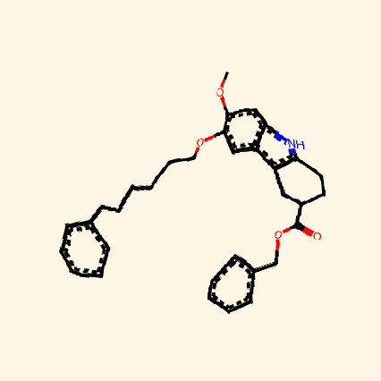 COc1cc2[nH]c3c(c2cc1OCCCCCCc1ccccc1)CC(C(=O)OCc1ccccc1)CC3